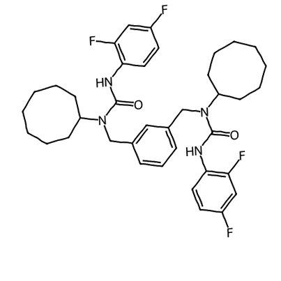 O=C(Nc1ccc(F)cc1F)N(Cc1cccc(CN(C(=O)Nc2ccc(F)cc2F)C2CCCCCCC2)c1)C1CCCCCCC1